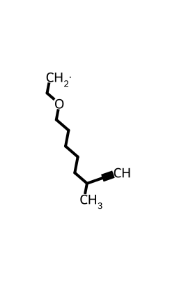 C#CC(C)CCCCCOC[CH2]